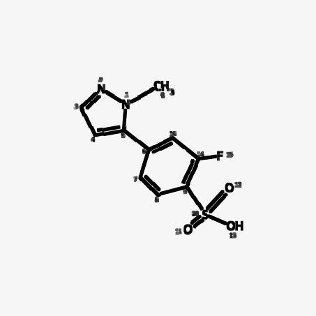 Cn1nccc1-c1ccc(S(=O)(=O)O)c(F)c1